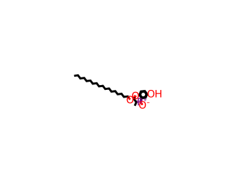 CCCCCCCCCCCCCCCCCCOC(=O)C(C)=[P+]([O-])c1cccc(O)c1